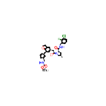 C[C@@H]1C[C@@H](C(=O)NCc2cccc(Cl)c2F)N(C(=O)Cc2cc(-c3cccc(CNC(=O)OC(C)(C)C)c3)c3occc3c2)C1